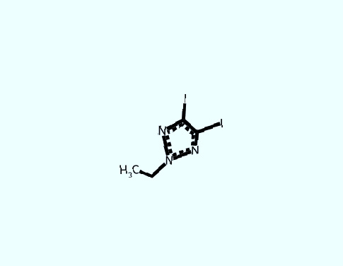 CCn1nc(I)c(I)n1